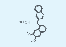 COc1cc2cncc(Cc3cnc4ccccc4c3)c2cc1OC.Cl.Cl